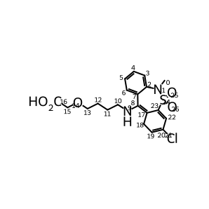 CN1c2ccccc2C(NCCCCOCC(=O)O)=C2CC=C(Cl)C=C2S1(=O)=O